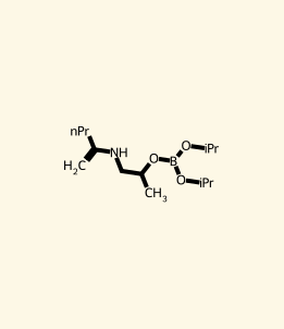 C=C(CCC)NCC(C)OB(OC(C)C)OC(C)C